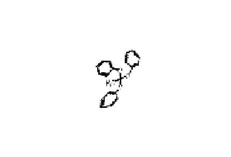 CC(Oc1ccccc1)(Oc1ccccc1)Oc1ccccc1